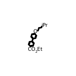 CCOC(=O)c1ccc(-c2ccc(OCCCC(C)C)cc2)cc1